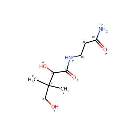 CC(C)(CO)C(O)C(=O)NCCC(N)=O